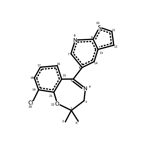 CC1(C)CN=C(c2cnc3sccc3c2)c2cccc(Cl)c2O1